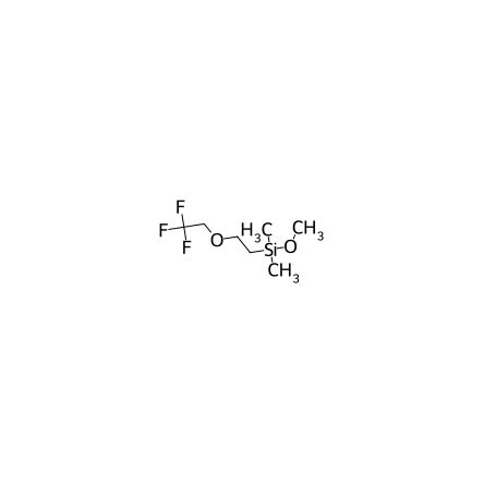 CO[Si](C)(C)CCOCC(F)(F)F